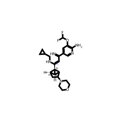 N=C(/C=C(\NCC1CC1)[C@]12C3C(N4CCOCC4)C[C@@H]1[C@H]32)c1cnc(N)c(OC(F)F)c1